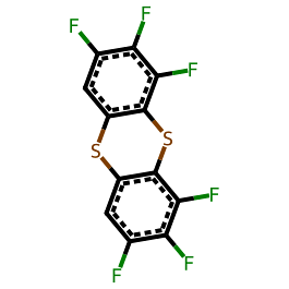 Fc1cc2c(c(F)c1F)Sc1c(cc(F)c(F)c1F)S2